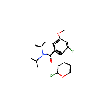 COc1cc(Cl)cc(C(=O)N(C(C)C)C(C)C)c1.ClC1CCCCO1